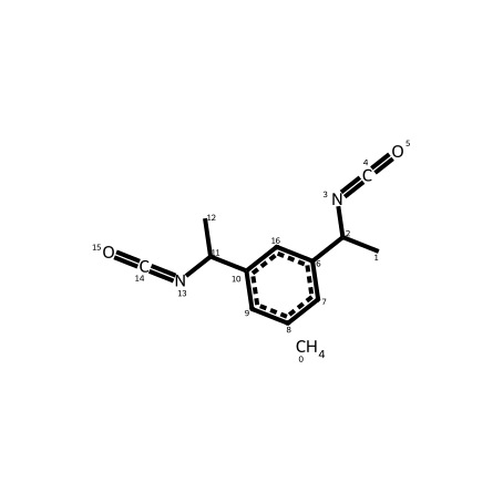 C.CC(N=C=O)c1cccc(C(C)N=C=O)c1